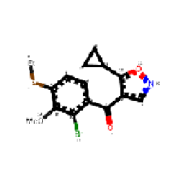 CCSc1ccc(C(=O)c2cnoc2C2CC2)c(Br)c1OC